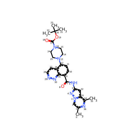 Cc1cn2nc(NC(=O)c3ccc(N4CCN(C(=O)OC(C)(C)C)CC4)c4ccnnc34)cc2c(C)n1